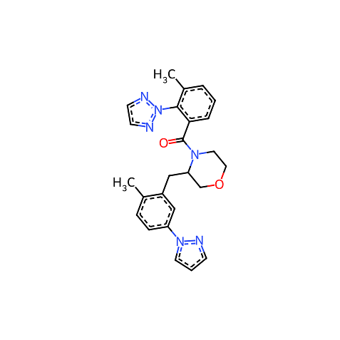 Cc1ccc(-n2cccn2)cc1CC1COCCN1C(=O)c1cccc(C)c1-n1nccn1